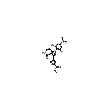 COC(=O)c1cc(-c2cn(-c3c(F)cc([N+](=O)[O-])cc3F)c3cc[nH]c(=O)c23)cs1